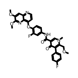 COCc1c(-c2ccc(F)cc2)c(=O)c(C(=O)Nc2ccc(Oc3ccnc4cc(OC)c(OC)nc34)c(F)c2)cn1C